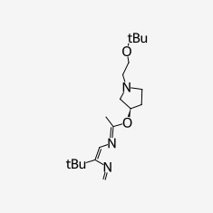 C=N/C(=C\N=C(/C)O[C@@H]1CCN(CCOC(C)(C)C)C1)C(C)(C)C